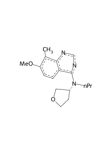 CCCN(c1ncnc2c(C)c(OC)ccc12)[C@@H]1CCOC1